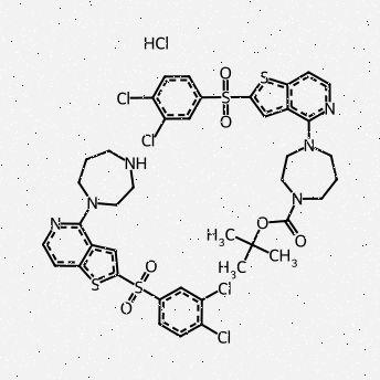 CC(C)(C)OC(=O)N1CCCN(c2nccc3sc(S(=O)(=O)c4ccc(Cl)c(Cl)c4)cc23)CC1.Cl.O=S(=O)(c1ccc(Cl)c(Cl)c1)c1cc2c(N3CCCNCC3)nccc2s1